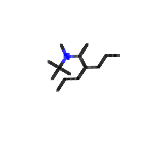 CCCC(CCC)C(C)N(C)C(C)(C)C